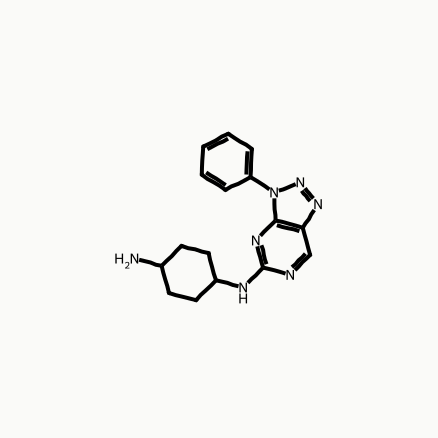 NC1CCC(Nc2ncc3nnn(-c4ccccc4)c3n2)CC1